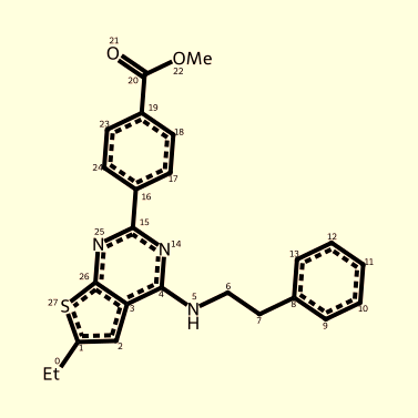 CCc1cc2c(NCCc3ccccc3)nc(-c3ccc(C(=O)OC)cc3)nc2s1